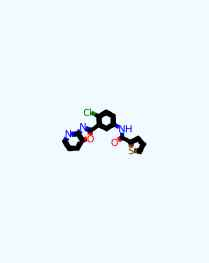 O=C(Nc1ccc(Cl)c(-c2nc3ncccc3o2)c1)c1cccs1